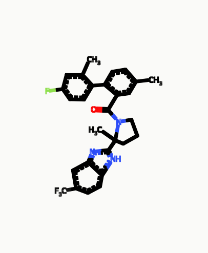 Cc1ccc(-c2ccc(F)cc2C)c(C(=O)N2CCCC2(C)c2nc3cc(C(F)(F)F)ccc3[nH]2)c1